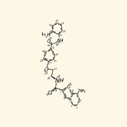 CCCc1cccc2cc(C(=O)NCCOc3ccc(C(=O)Nc4ccccc4N)cc3)oc12